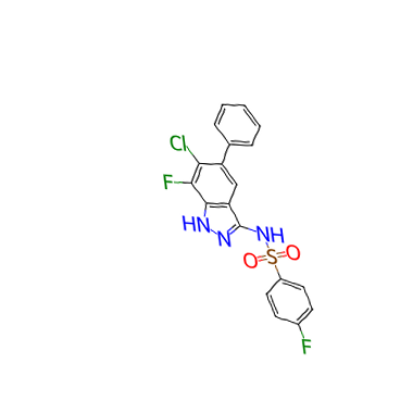 O=S(=O)(Nc1n[nH]c2c(F)c(Cl)c(-c3ccccc3)cc12)c1ccc(F)cc1